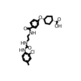 Cc1ccc(NC(=O)NCCNC(=O)c2ccc(O[C@H]3CC[C@@H](C(=O)O)CC3)cc2)c(Cl)c1